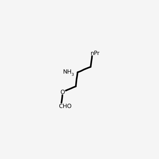 CCCCCCOC=O.N